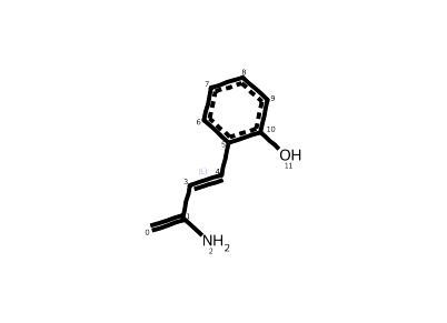 C=C(N)/C=C/c1ccccc1O